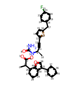 CC(C(=O)ON(C(N)=O)[C@H](C)C#Cc1ccc(Cc2ccc(F)cc2)s1)c1cccc2c(-c3ccccc3)coc12